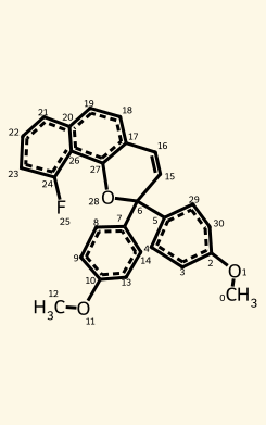 COc1ccc(C2(c3ccc(OC)cc3)C=Cc3ccc4cccc(F)c4c3O2)cc1